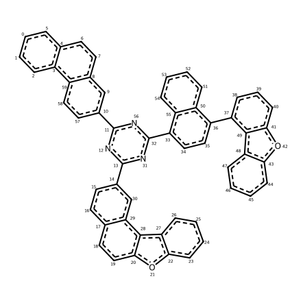 c1ccc2c(c1)ccc1cc(-c3nc(-c4ccc5ccc6oc7ccccc7c6c5c4)nc(-c4ccc(-c5cccc6oc7ccccc7c56)c5ccccc45)n3)ccc12